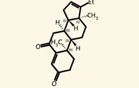 CCC1=CC[C@H]2[C@@H]3CC(=O)C4=CC(=O)CC[C@]4(C)[C@H]3CC[C@]12C